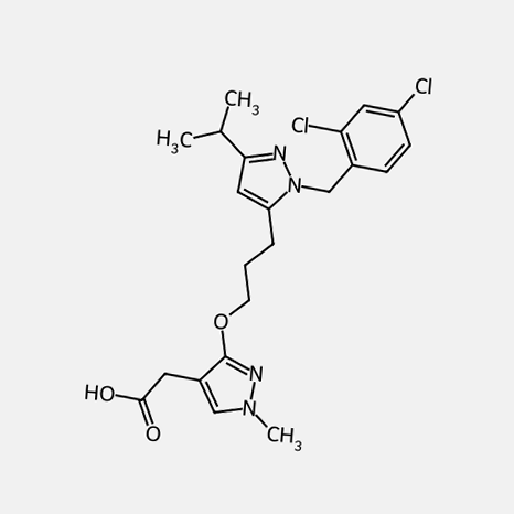 CC(C)c1cc(CCCOc2nn(C)cc2CC(=O)O)n(Cc2ccc(Cl)cc2Cl)n1